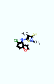 [CH2]C1=C(Nc2c(Cl)ccc3c2CCO3)SN(C)C1S